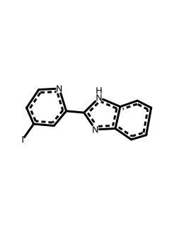 Ic1ccnc(-c2nc3ccccc3[nH]2)c1